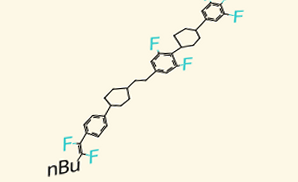 CCCC/C(F)=C(\F)c1ccc(C2CCC(CCc3cc(F)c(C4CCC(c5cc(F)c(F)c(F)c5)CC4)c(F)c3)CC2)cc1